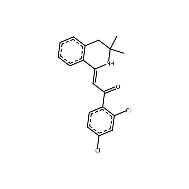 CC1(C)Cc2ccccc2/C(=C/C(=O)c2ccc(Cl)cc2Cl)N1